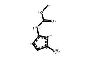 COC(=O)Nc1ccc(N)s1